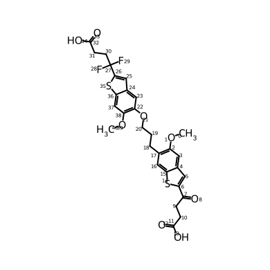 COc1cc2cc(C(=O)CCC(=O)O)sc2cc1CCCOc1cc2cc(C(F)(F)CCC(=O)O)sc2cc1OC